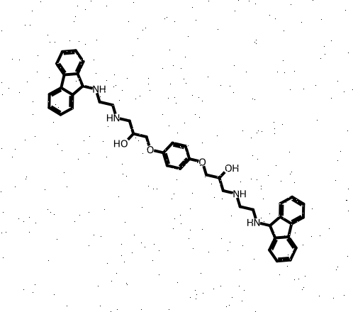 OC(CNCCNC1c2ccccc2-c2ccccc21)COc1ccc(OCC(O)CNCCNC2c3ccccc3-c3ccccc32)cc1